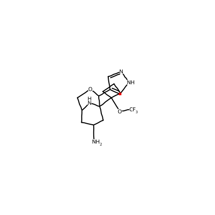 NC1CC2COC(c3cn[nH]c3)C(C3(OC(F)(F)F)CCC3)(C1)N2